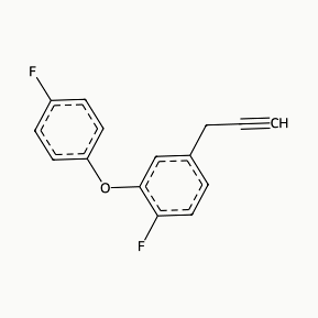 C#CCc1ccc(F)c(Oc2ccc(F)cc2)c1